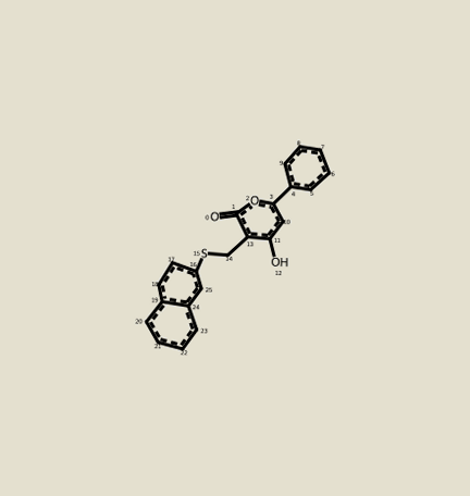 O=c1oc(-c2ccccc2)cc(O)c1CSc1ccc2ccccc2c1